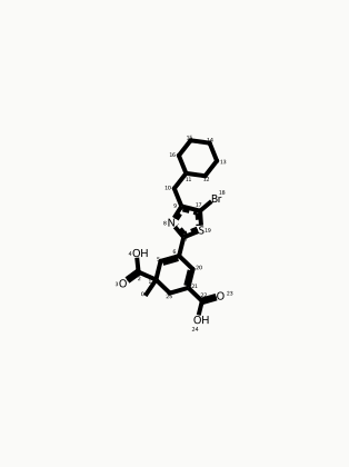 CC1(C(=O)O)C=C(c2nc(CC3CCCCC3)c(Br)s2)C=C(C(=O)O)C1